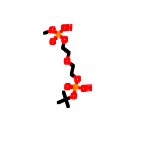 COP(=O)(O)OCCOCCOP(=O)(O)OC(C)(C)C